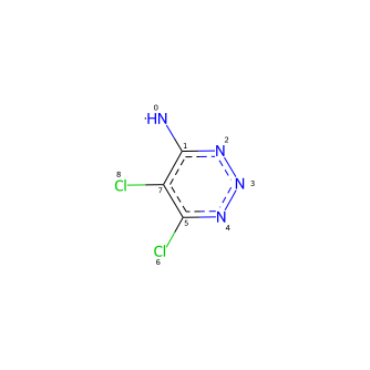 [NH]c1nnnc(Cl)c1Cl